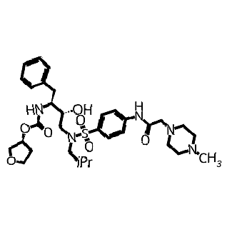 CC(C)CN(C[C@@H](O)[C@H](Cc1ccccc1)NC(=O)O[C@H]1CCOC1)S(=O)(=O)c1ccc(NC(=O)CN2CCN(C)CC2)cc1